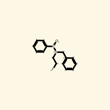 [O-][S+](c1ccccc1)N(CCF)Cc1ccccc1